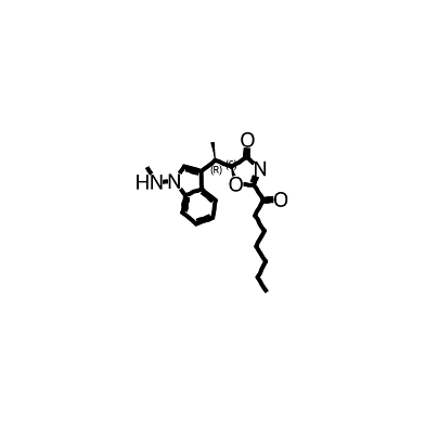 CCCCCCC(=O)C1=NC(=O)[C@H]([C@H](C)c2cn(NC)c3ccccc23)O1